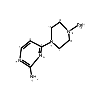 Nc1nccc(N2CC[N]([RaH])CC2)n1